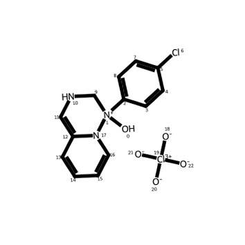 O[N+]1(c2ccc(Cl)cc2)CNC=C2C=CC=CN21.[O-][Cl+3]([O-])([O-])[O-]